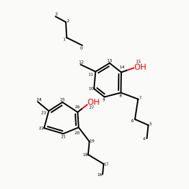 CCCC.CCCCc1ccc(C)cc1O.CCCCc1ccc(C)cc1O